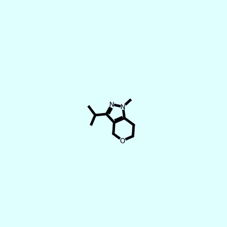 CC(C)c1nn(C)c2c1COCC2